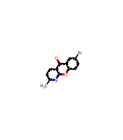 CC(=O)c1ccc2oc3nc(C)ccc3c(=O)c2c1